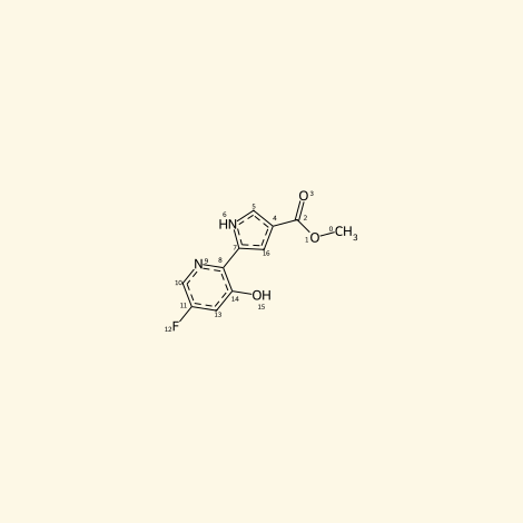 COC(=O)c1c[nH]c(-c2ncc(F)cc2O)c1